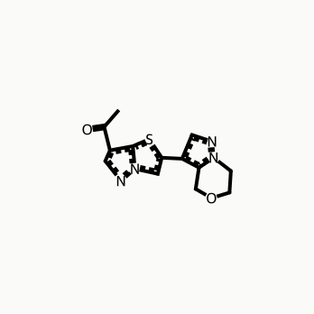 CC(=O)c1cnn2cc(-c3cnn4c3COCC4)sc12